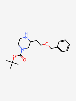 CC(C)(C)OC(=O)N1CCNC(CCOCc2ccccc2)C1